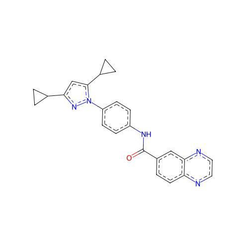 O=C(Nc1ccc(-n2nc(C3CC3)cc2C2CC2)cc1)c1ccc2nccnc2c1